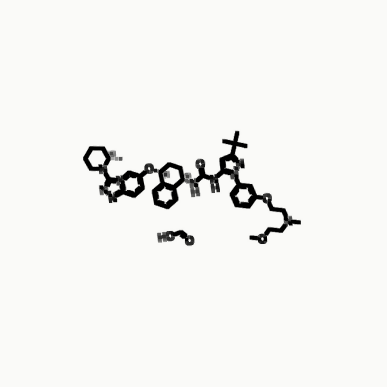 COCCN(C)CCOc1cccc(-n2nc(C(C)(C)C)cc2NC(=O)N[C@H]2CC[C@@H](Oc3ccc4nnc(N5CCCC[C@@H]5C)n4c3)c3ccccc32)c1.O=CO